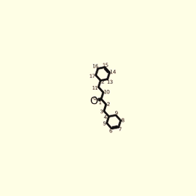 O=C(CCC1CC=CCC1)CCC1CC=CCC1